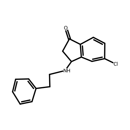 O=C1CC(NCCc2ccccc2)c2cc(Cl)ccc21